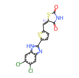 O=C1NC(=O)/C(=C\c2ccc(-c3nc4cc(Cl)c(Cl)cc4[nH]3)s2)S1